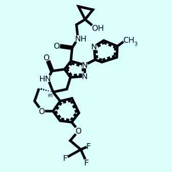 Cc1ccc(-n2nc3c(c2C(=O)NCC2(O)CC2)C(=O)N[C@@]2(CCOc4cc(OCC(F)(F)F)ccc42)C3)nc1